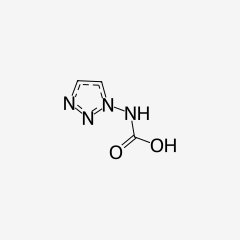 O=C(O)Nn1ccnn1